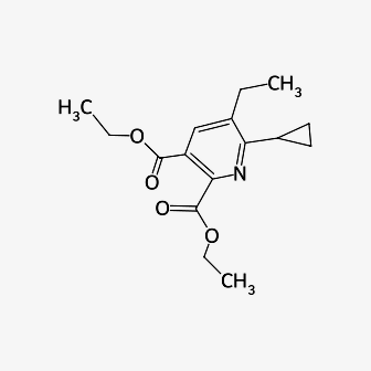 CCOC(=O)c1cc(CC)c(C2CC2)nc1C(=O)OCC